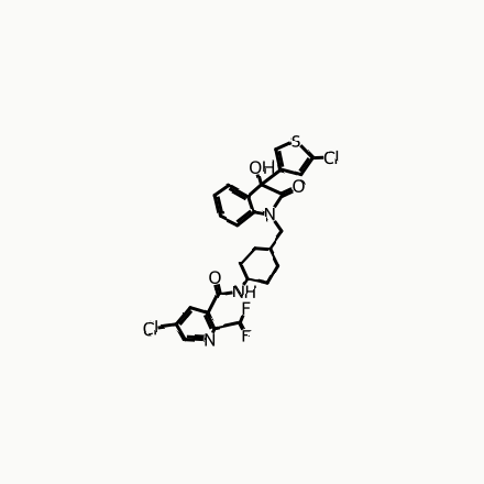 O=C(NC1CCC(CN2C(=O)C(O)(c3csc(Cl)c3)c3ccccc32)CC1)c1cc(Cl)cnc1C(F)F